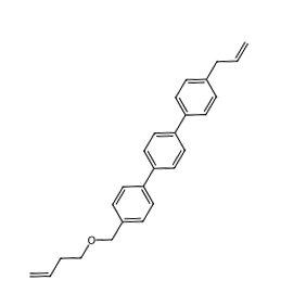 C=CCCOCc1ccc(-c2ccc(-c3ccc(CC=C)cc3)cc2)cc1